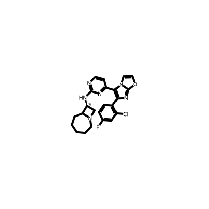 Fc1ccc(-c2nc3occn3c2-c2ccnc(N[C@H]3CN4CCCCCC34)n2)c(Cl)c1